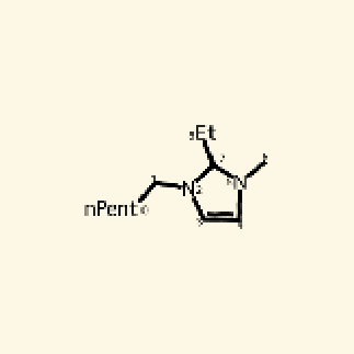 CCCCCCN1C=CN(C)C1CC